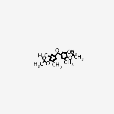 CC(=O)Oc1c(C)cc(C(=O)c2cc(C)c(OC(C)=O)c(C)c2)cc1C